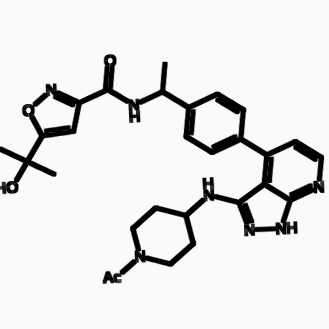 CC(=O)N1CCC(Nc2n[nH]c3nccc(-c4ccc(C(C)NC(=O)c5cc(C(C)(C)O)on5)cc4)c23)CC1